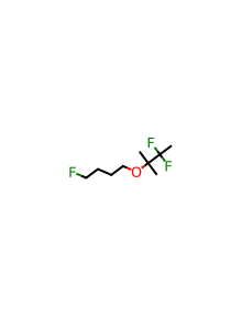 CC(F)(F)C(C)(C)OCCCCF